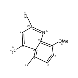 COc1ccc(C)c2c(C(F)(F)F)cc(Cl)nc12